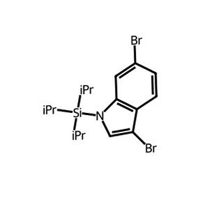 CC(C)[Si](C(C)C)(C(C)C)n1cc(Br)c2ccc(Br)cc21